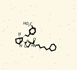 O=C(O)c1cccc(CC[C@@H]2[C@H](C3=NC(C(=O)NCCCCC4CCCCC4)CO3)[C@H]3CC[C@@H]2O3)c1